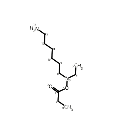 CCC(=O)ON(CC)CCCCCCN